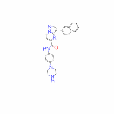 O=C(Nc1ccc(N2CCNCC2)cc1)c1ccn2ncc(-c3ccc4ccccc4c3)c2n1